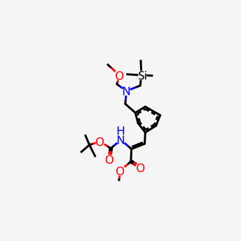 COCN(Cc1cccc(/C=C(\NC(=O)OC(C)(C)C)C(=O)OC)c1)C[Si](C)(C)C